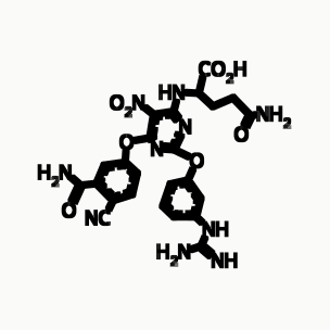 N#Cc1ccc(Oc2nc(Oc3cccc(NC(=N)N)c3)nc(NC(CCC(N)=O)C(=O)O)c2[N+](=O)[O-])cc1C(N)=O